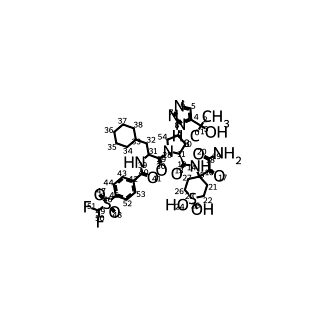 CC(C)(O)c1cnnn1[C@H]1C[C@@H](C(=O)NC2(C(=O)C(N)=O)CCS(O)(O)CC2)N(C(=O)C(CC2CCCCC2)NC(=O)c2ccc(S(=O)(=O)C(F)F)cc2)C1